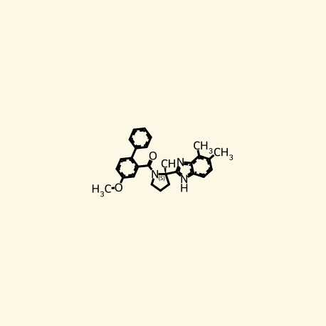 COc1ccc(-c2ccccc2)c(C(=O)N2CCC[C@@]2(C)c2nc3c(C)c(C)ccc3[nH]2)c1